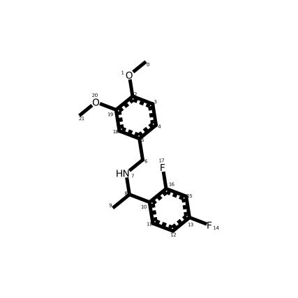 COc1ccc(CNC(C)c2ccc(F)cc2F)cc1OC